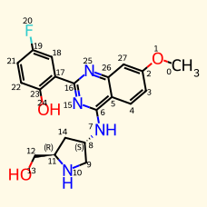 COc1ccc2c(N[C@@H]3CN[C@@H](CO)C3)nc(-c3cc(F)ccc3O)nc2c1